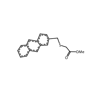 COC(=O)CSCc1ccc2cc3ccccc3cc2c1